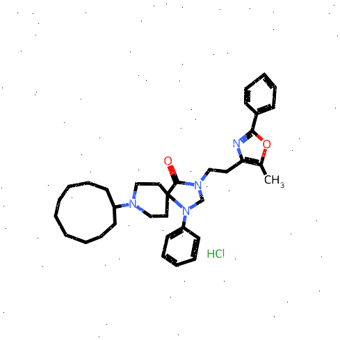 Cc1oc(-c2ccccc2)nc1CCN1CN(c2ccccc2)C2(CCN(C3CCCCCCCCC3)CC2)C1=O.Cl